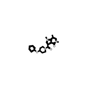 Cc1cn(C)c(=O)c2c(C(=O)N3CCC(Oc4ccccc4)CC3)cn(C)c12